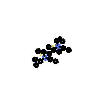 CC1(C)c2ccccc2-c2c(-c3nc(-c4ccc(-c5ccccc5)cc4-c4ccccc4)nc(-c4ccc(-c5cccc(-c6cc(-c7ccccc7)ccc6-c6nc(-c7ccc8c9ccccc9c9ccccc9c8c7)nc(-c7cccc8c7sc7ccccc78)n6)c5)c5c4sc4ccccc45)n3)cccc21